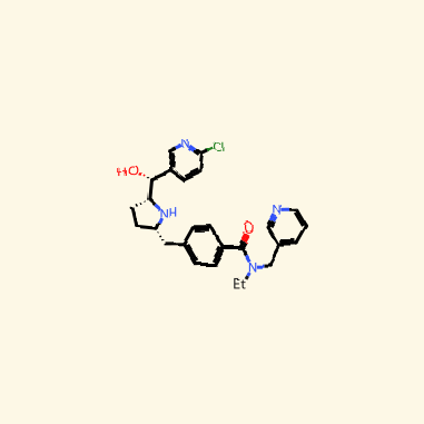 CCN(Cc1cccnc1)C(=O)c1ccc(C[C@@H]2CC[C@H]([C@H](O)c3ccc(Cl)nc3)N2)cc1